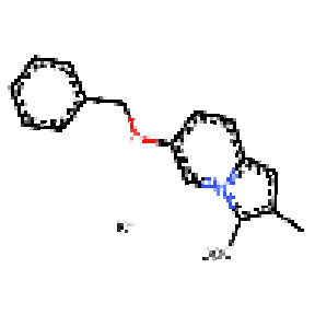 Cc1cc2ccc(OCc3ccccc3)cn2c1C(=O)[O-].[K+]